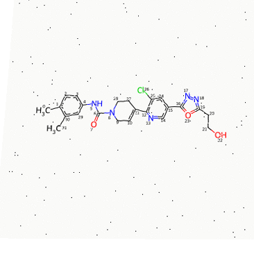 Cc1ccc(NC(=O)N2CC=C(c3ncc(-c4nnc(CCO)o4)cc3Cl)CC2)cc1C